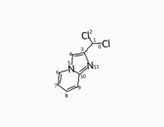 ClC(Cl)c1cn2ccccc2n1